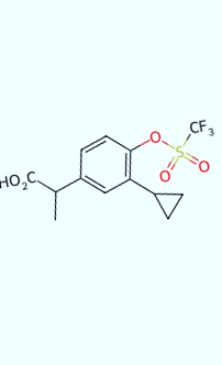 CC(C(=O)O)c1ccc(OS(=O)(=O)C(F)(F)F)c(C2CC2)c1